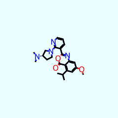 COc1cc(C(C)C)c2c(=O)oc(-c3cccnc3N3CC[C@H](N(C)C)C3)nc2c1